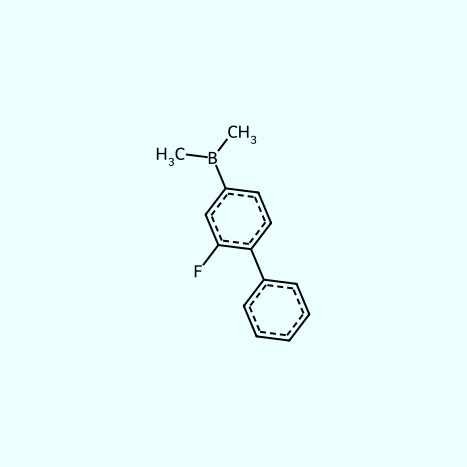 CB(C)c1ccc(-c2ccccc2)c(F)c1